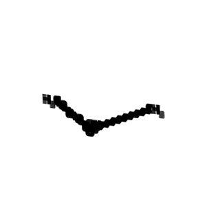 CCCCCCCCCCCCCCCCCCOOP(=O)(O)OCCOCCOCCOCC